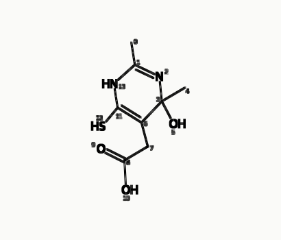 CC1=NC(C)(O)C(CC(=O)O)=C(S)N1